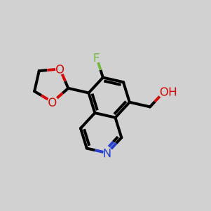 OCc1cc(F)c(C2OCCO2)c2ccncc12